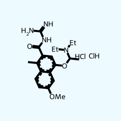 CCN(CC)C(C)Oc1cc(C(=O)NC(=N)N)c(C)c2ccc(OC)cc12.Cl.Cl